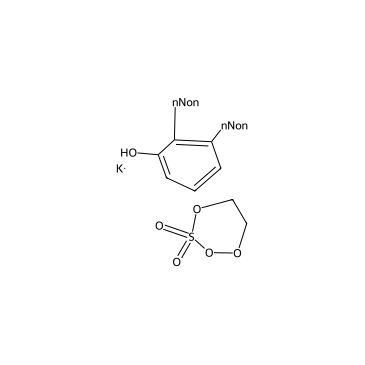 CCCCCCCCCc1cccc(O)c1CCCCCCCCC.O=S1(=O)OCCOO1.[K]